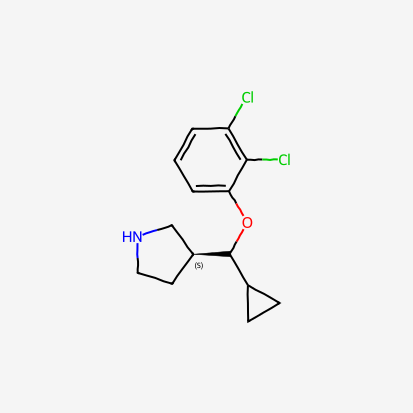 Clc1cccc(OC(C2CC2)[C@H]2CCNC2)c1Cl